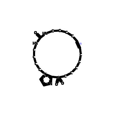 O=C1NCCCC/C=C\CCCCCS(=O)(=O)c2nccn2CCCCN1